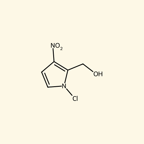 O=[N+]([O-])c1ccn(Cl)c1CO